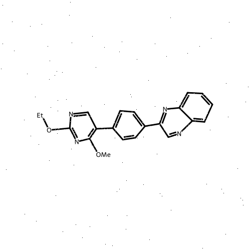 CCOc1ncc(-c2ccc(-c3cnc4ccccc4n3)cc2)c(OC)n1